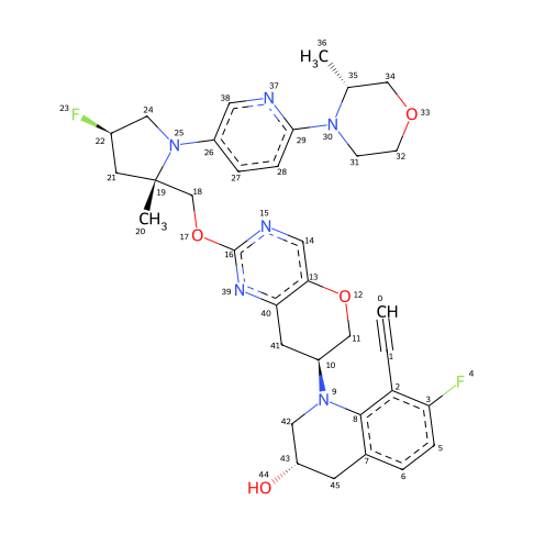 C#Cc1c(F)ccc2c1N([C@@H]1COc3cnc(OC[C@]4(C)C[C@@H](F)CN4c4ccc(N5CCOC[C@H]5C)nc4)nc3C1)C[C@@H](O)C2